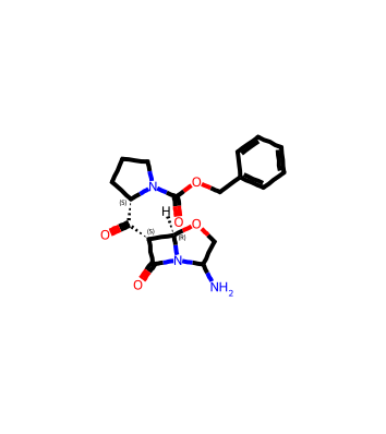 NC1CO[C@@H]2[C@@H](C(=O)[C@@H]3CCCN3C(=O)OCc3ccccc3)C(=O)N12